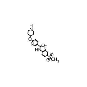 CS(=O)(=O)c1ccc(NC(=O)c2ccc(OC3CCNCC3)nc2)c(F)c1